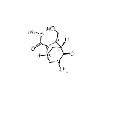 CN1C[C@H]2C[C@@H](C1=O)[C@H](CO)N2C(=O)OC(C)(C)C